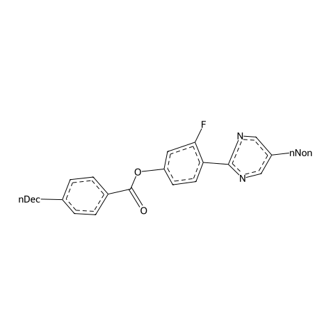 CCCCCCCCCCc1ccc(C(=O)Oc2ccc(-c3ncc(CCCCCCCCC)cn3)c(F)c2)cc1